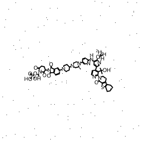 [2H]C([2H])([2H])Oc1ncc(-c2ccnc(N3CCc4c(sc5c4CCCC5)C3=O)c2C(C)(C)O)cc1Nc1ccc(N2CCN(C3CCN(c4ccc5c(c4)C(=O)N(C4CCC(=O)N(C(C)OP(=O)(O)O)C4=O)C5=O)CC3)C[C@@H]2C)cn1